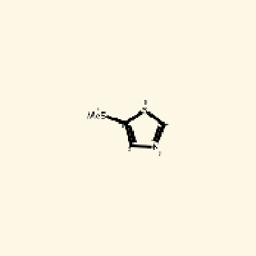 CSc1cn[c]s1